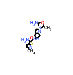 Cc1ccc2c(N)c(C(=O)N[C@H]3CCc4nc(N5CC(C)COC[C@H](N)C5)ccc4C3)sc2n1